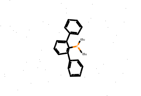 CC(C)(C)P(c1c(-c2ccccc2)cccc1-c1ccccc1)C(C)(C)C